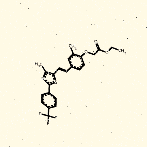 CCOC(=O)COc1ccc(/C=C/c2sc(-c3ccc(C(F)(F)F)cc3)nc2C)cc1C